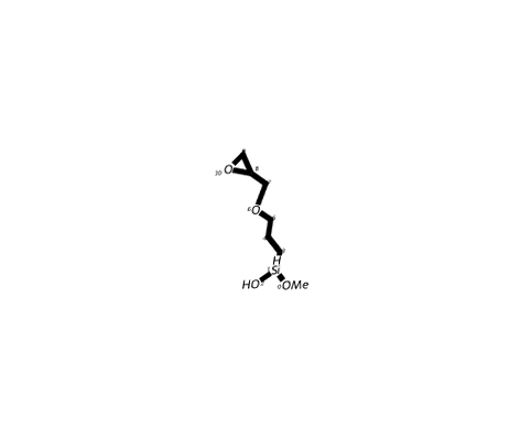 CO[SiH](O)CCCOCC1CO1